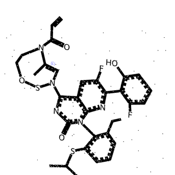 C=CC(=O)N1CCOSN(c2nc(=O)n(-c3c(CC)cccc3SC(C)C)c3nc(-c4c(O)cccc4F)c(F)cc23)/C=C/1C